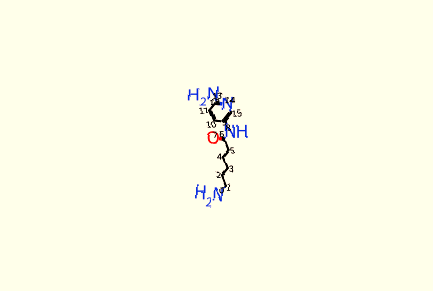 NCCCCCC(=O)Nc1ccc(N)nc1